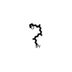 C/C(=C\Cc1ccco1)CCCC(C)CCCC(C)CCCC(C)C